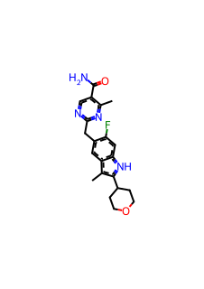 Cc1nc(Cc2cc3c(C)c(C4CCOCC4)[nH]c3cc2F)ncc1C(N)=O